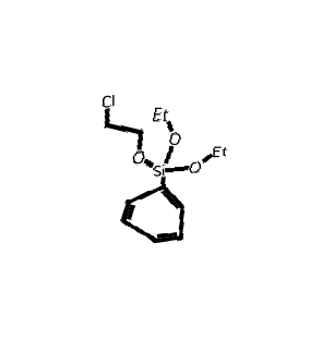 CCO[Si](OCC)(OCCCl)c1ccccc1